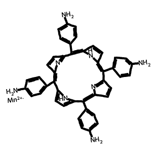 Nc1ccc(-c2c3nc(c(-c4ccc(N)cc4)c4ccc([nH]4)c(-c4ccc(N)cc4)c4nc(c(-c5ccc(N)cc5)c5ccc2[nH]5)C=C4)C=C3)cc1.[Mn+2]